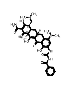 CN(C)C[C@@H]1C(O)=C(C(N)=O)C(=N)[C@@]2(C)C(O)=C3C(=O)c4c(O)c(NC(=O)NC(=O)c5ccccc5)cc(N(C)C)c4C[C@H]3CC12